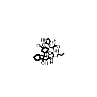 CCCC[C@H](NC(=O)CC(O)(c1ccccc1)C(C)(C)c1cccc(Cl)c1)C(=O)N[C@@H](C[C@@H]1CCNC1=O)C(=O)OC